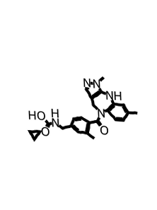 C1CC1.Cc1ccc2c(c1)Nc1c(cnn1C)CN2C(=O)c1ccc(CNC(=O)O)cc1C